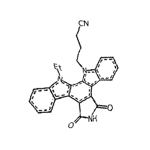 CCn1c2ccccc2c2c3c(c4c5ccccc5n(CCCC#N)c4c21)C(=O)NC3=O